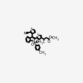 COC(=O)CC(C)c1csc(-c2c(-c3ccsc3C#N)c3ccccc3n2S(=O)(=O)c2ccc(C)cc2)c1